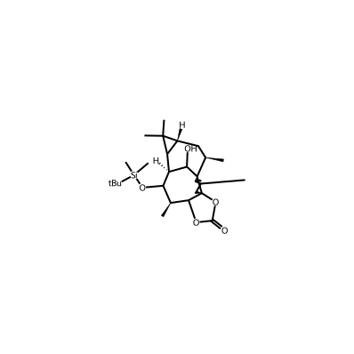 CC1=C[C@]23C(O)[C@@H](C(O[Si](C)(C)C(C)(C)C)[C@H](C)C4OC(=O)O[C@]42C1)C1[C@@H](C[C@H]3C)C1(C)C